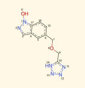 On1ncc2cc(COCc3nnn[nH]3)ccc21